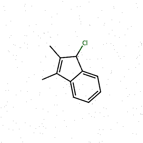 CC1=C(C)c2ccccc2[C]1Cl